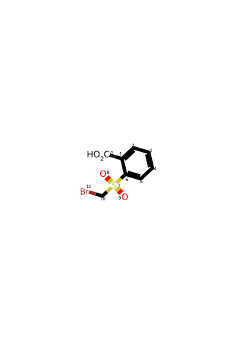 O=C(O)c1ccccc1S(=O)(=O)CBr